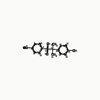 CC(C)(C)c1cnc(S(=O)(=O)C(C)(C)c2cnc(Cl)nc2)nc1